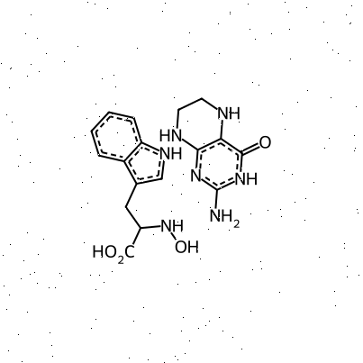 Nc1nc2c(c(=O)[nH]1)NCCN2.O=C(O)C(Cc1c[nH]c2ccccc12)NO